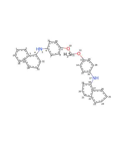 c1ccc2c(Nc3ccc(O[SiH2]Oc4ccc(Nc5cccc6ccccc56)cc4)cc3)cccc2c1